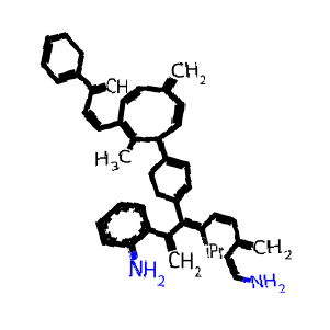 C=C(/C=C\N)/C=C\C(=C(\C(=C)c1ccccc1N)C1=CC=C(C2/C=C\C(=C)\C=C/C(/C=C\C(=C)C3=CC=CCC3)=C\2C)CC1)C(C)C